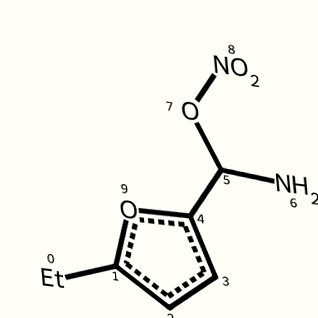 CCc1ccc(C(N)O[N+](=O)[O-])o1